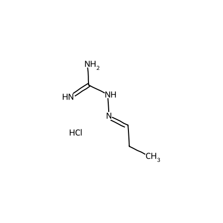 CCC=NNC(=N)N.Cl